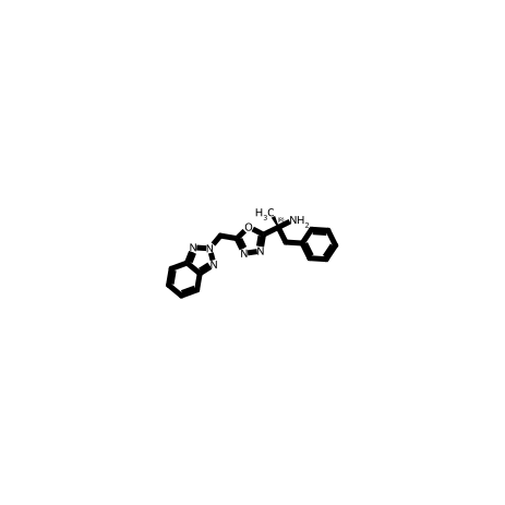 C[C@@](N)(Cc1ccccc1)c1nnc(Cn2nc3ccccc3n2)o1